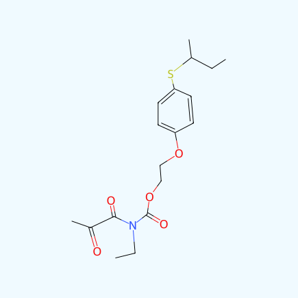 CCC(C)Sc1ccc(OCCOC(=O)N(CC)C(=O)C(C)=O)cc1